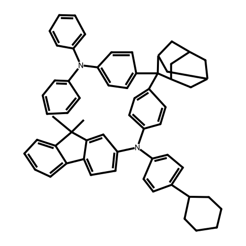 CC1(C)c2ccccc2-c2ccc(N(c3ccc(C4CCCCC4)cc3)c3ccc(C4(c5ccc(N(c6ccccc6)c6ccccc6)cc5)C5CC6CC(C5)CC4C6)cc3)cc21